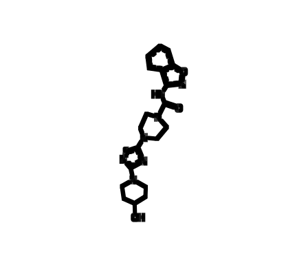 O=C(Nc1noc2ccccc12)N1CCN(c2nc(N3CCC(O)CC3)ns2)CC1